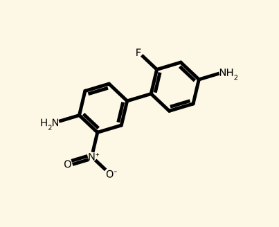 Nc1ccc(-c2ccc(N)c([N+](=O)[O-])c2)c(F)c1